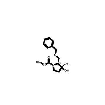 CC(C)(C)OC(=O)N1CC[C@@](C)(O)[C@@H]1COCc1ccccc1